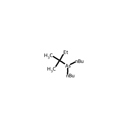 CCCC[As](CCCC)C(C)(C)CC